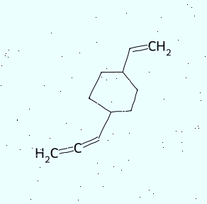 C=C=CC1CCC(C=C)CC1